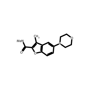 CNC(=O)c1oc2ccc(N3CCOCC3)cc2c1C